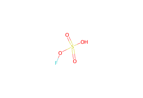 O=S(=O)(O)OF